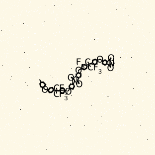 Cc1ccc(Oc2ccc(C(c3ccc(Oc4ccc(N5C(=O)c6ccc(Oc7ccc(C(c8ccc(Oc9ccc%10c(c9)C(=O)N(C)C%10=O)cc8)(C(F)(F)F)C(F)(F)F)cc7)cc6C5=O)cc4)cc3)(C(F)(F)F)C(F)(F)F)cc2)cc1